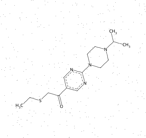 CCSCC(=O)c1cnc(N2CCN(C(C)C)CC2)nc1